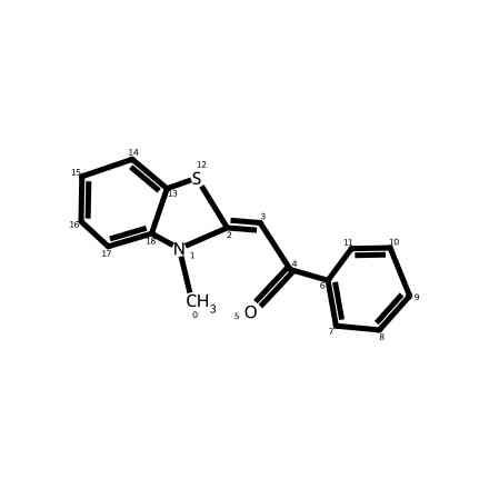 CN1C(=CC(=O)c2ccccc2)Sc2ccccc21